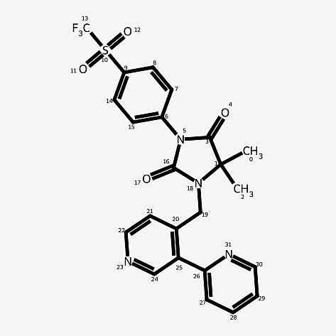 CC1(C)C(=O)N(c2ccc(S(=O)(=O)C(F)(F)F)cc2)C(=O)N1Cc1ccncc1-c1ccccn1